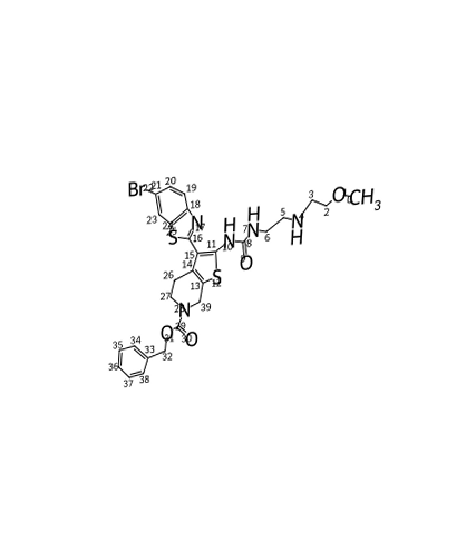 COCCNCCNC(=O)Nc1sc2c(c1-c1nc3ccc(Br)cc3s1)CCN(C(=O)OCc1ccccc1)C2